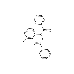 O=C(CC(C(=O)c1ccccc1)c1cccc(F)c1)c1ccccc1